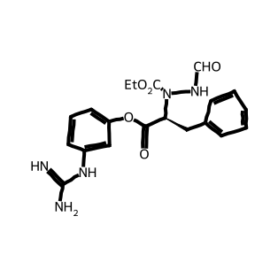 CCOC(=O)N(NC=O)[C@@H](Cc1ccccc1)C(=O)Oc1cccc(NC(=N)N)c1